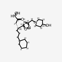 O=C(C[C@@H](CCCC1CCCCC1)c1nc(CN2CCC(O)CC2)no1)NO